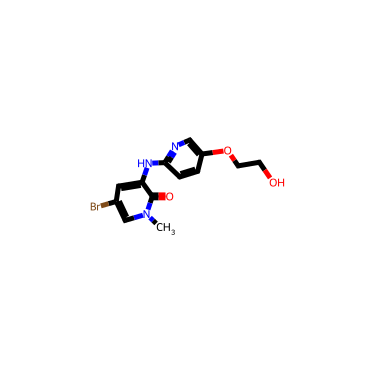 Cn1cc(Br)cc(Nc2ccc(OCCO)cn2)c1=O